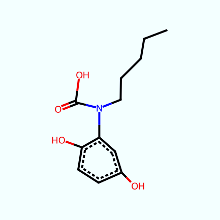 CCCCCN(C(=O)O)c1cc(O)ccc1O